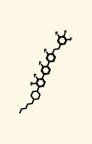 CCCCCC1CCC(c2ccc(-c3ccc(-c4ccc(CCc5cc(F)c(F)c(F)c5)c(F)c4)c(F)c3)c(F)c2F)CC1